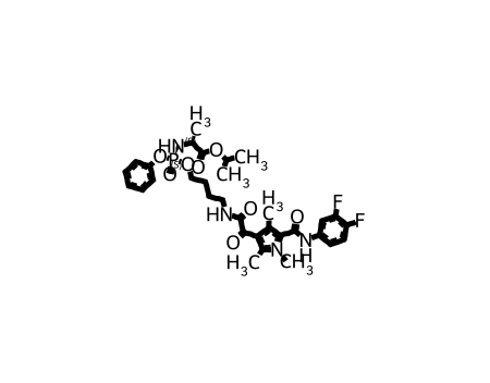 Cc1c(C(=O)C(=O)NCCCCO[P@@](=O)(N[C@@H](C)C(=O)OC(C)C)Oc2ccccc2)c(C)n(C)c1C(=O)Nc1ccc(F)c(F)c1